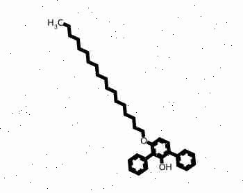 CCCCCCCCCCCCCCCCCCOc1ccc(-c2ccccc2)c(O)c1-c1ccccc1